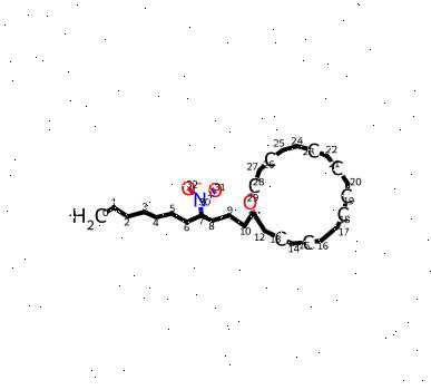 [CH2]CCCCCCC(CCC[C]1CCCCCCCCCCCCCCCCCO1)[N+](=O)[O-]